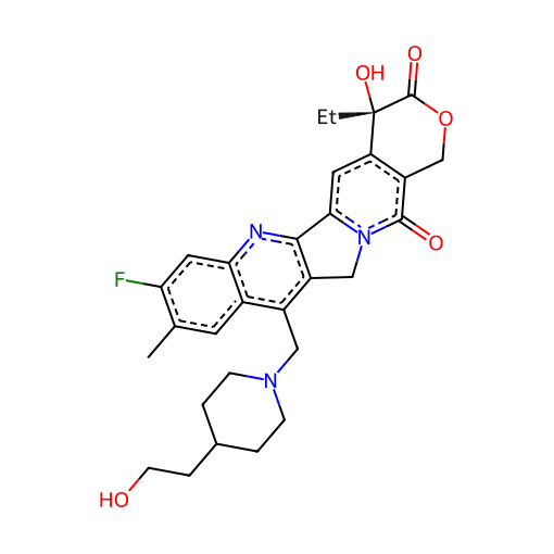 CC[C@@]1(O)C(=O)OCc2c1cc1n(c2=O)Cc2c-1nc1cc(F)c(C)cc1c2CN1CCC(CCO)CC1